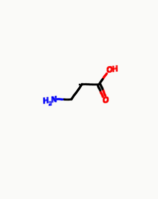 NC[CH]C(=O)O